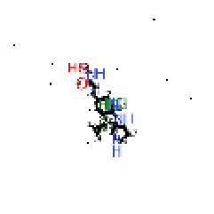 Cl.Cl.O=C(/C=C/c1cnc(N[C@@]2(CC3CC3)CCCNC2)c(Cl)c1)NO